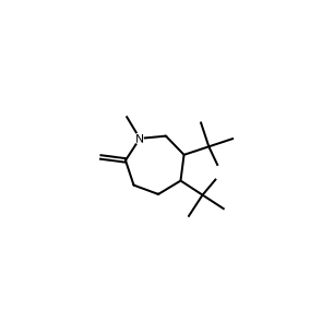 C=C1CCC(C(C)(C)C)C(C(C)(C)C)CN1C